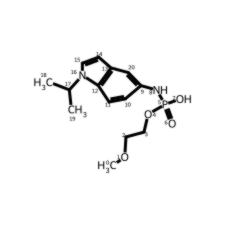 COCCOP(=O)(O)Nc1ccc2c(ccn2C(C)C)c1